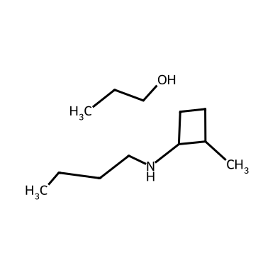 CCCCNC1CCC1C.CCCO